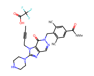 CC#CCn1c(N2CCNCC2)nc2cnn(Cc3c(C#N)cc(C(=O)NC)cc3C#N)c(=O)c21.O=C(O)C(F)(F)F